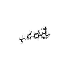 CC(=O)NC[C@H]1CN(c2ccc(C3=NNC(=O)C(OC(C)=O)S3)c(F)c2)C(=O)O1